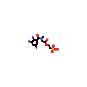 CN(CC(=O)OCCS(=O)(=O)O)C(=O)c1cc(I)cc(I)c1I